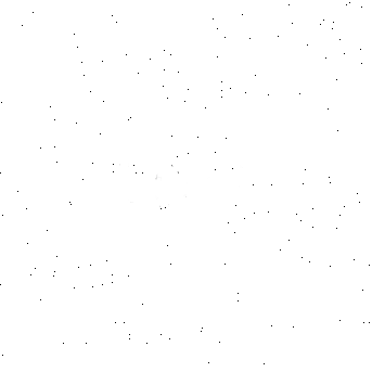 CCOC(=O)[C@H](CO)NC(=O)c1ccc(C)cc1